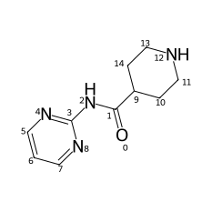 O=C(Nc1ncccn1)C1CCNCC1